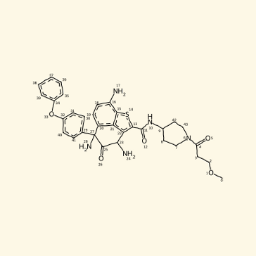 COCCC(=O)N1CCC(NC(=O)c2sc3c(N)ccc4c3c2C(N)C(=O)C4(N)c2ccc(Oc3ccccc3)cc2)CC1